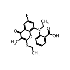 CCSc1oc2c(N(CC)c3ccccc3C(=O)O)cc(F)cc2c(=O)c1C